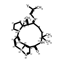 C=C1/C(=N\C=C(/C)F)CCC(C)(C)NC(=O)c2cnn3ccc(nc23)N2CCC[C@H]12